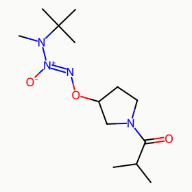 CC(C)C(=O)N1CCC(ON=[N+]([O-])N(C)C(C)(C)C)C1